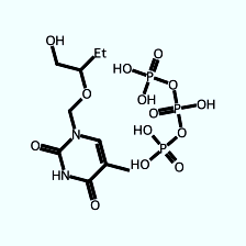 CCC(CO)OCn1cc(C)c(=O)[nH]c1=O.O=P(O)(O)OP(=O)(O)OP(=O)(O)O